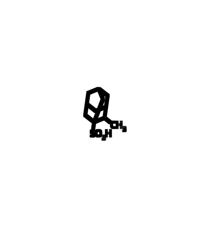 CC1C2CC3CC(C2)CC1(S(=O)(=O)O)C3